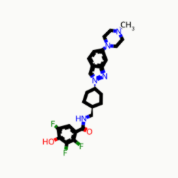 CN1CCN(c2ccc3cn([C@H]4CC[C@H](CNC(=O)c5cc(F)c(O)c(F)c5F)CC4)nc3c2)CC1